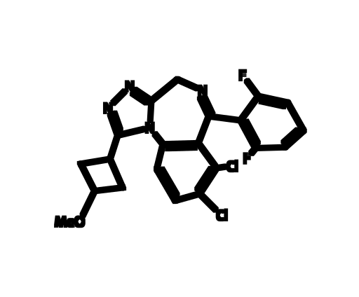 COC1CC(c2nnc3n2-c2ccc(Cl)c(Cl)c2C(c2c(F)cccc2F)=NC3)C1